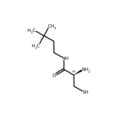 CC(C)(C)CCNC(=O)[C@@H](N)CS